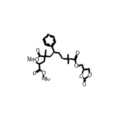 CCCCOC(=O)C(C)CC(C)(CC(CCC(C)(C)C(=O)OCC1COC(=O)O1)c1ccccc1)C(=O)OC